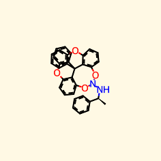 C[C@H](NN1Oc2cccc3c2C2(c4ccccc4O3)c3ccccc3Oc3cccc(c32)O1)c1ccccc1